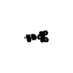 CC1(C)COC(c2ccc(-c3cc4c5c(c3)Oc3ccccc3B5c3ccccc3O4)cn2)=N1